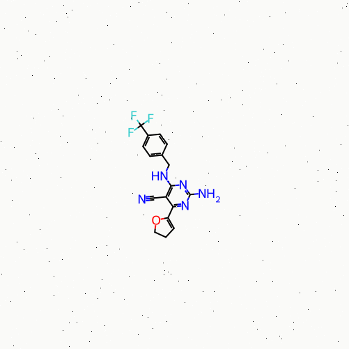 N#Cc1c(NCc2ccc(C(F)(F)F)cc2)nc(N)nc1C1=CCCO1